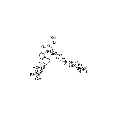 CCCCC(CC)CN(CC(CC)CCCC)C(=O)Nc1cccc2ccccc12.[O]=[Sb]([OH])([OH])[F].[O]=[Sb]([OH])([OH])[F].[O]=[Sb]([OH])([OH])[F].[O]=[Sb]([OH])([OH])[F].[O]=[Sb]([OH])([OH])[F].[O]=[Sb]([OH])([OH])[F]